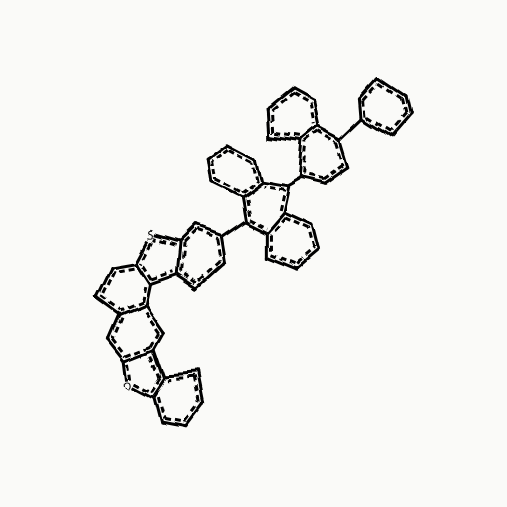 c1ccc(-c2ccc(-c3c4ccccc4c(-c4ccc5c(c4)sc4ccc6cc7oc8ccccc8c7cc6c45)c4ccccc34)c3ccccc23)cc1